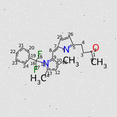 CC(=O)CCC1=N/C(=C\c2c(C)cc(C)n2C(F)(F)c2ccccc2)C=C1